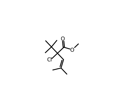 COC(=O)C(Cl)(C=C(C)C)C(C)(C)C